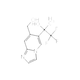 CC(O)(c1cn2ccnc2cc1CO)C(F)(F)F